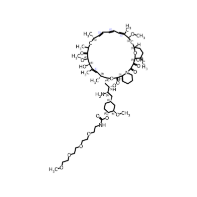 COCCOCCOCCOCCNC(=O)O[C@@H]1CC[C@@H](C[C@@H](N)[C@@H](O)C[C@H]2OC(=O)[C@@H]3CCCCN3C(=O)C(=O)[C@]3(O)O[C@@H](CC[C@H]3C)C[C@H](OC)/C(C)=C/C=C/C=C/[C@@H](C)CC(C)C(=O)[C@H](OC)[C@H](O)/C(C)=C/[C@H]2C)C[C@H]1OC